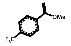 C=C(OC)c1ccc(C(F)(F)F)cc1